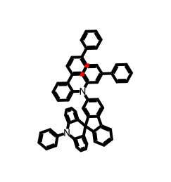 c1ccc(-c2ccc(-c3ccccc3N(c3cccc(-c4ccccc4)c3)c3ccc4c(c3)C3(c5ccccc5-4)c4ccccc4N(c4ccccc4)c4ccccc43)cc2)cc1